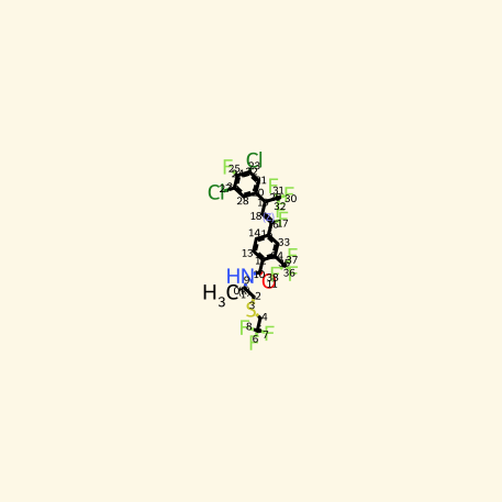 C[C@H](CSCC(F)(F)F)NC(=O)c1ccc(/C(F)=C/C(c2cc(Cl)c(F)c(Cl)c2)C(F)(F)F)cc1C(F)(F)F